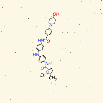 CCn1c(C)ccc1C(=O)Nc1ccc(Nc2ccc(NC(=O)c3ccc(N4CCC(O)CC4)cc3)cc2)cc1